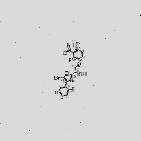 NC(=O)c1c(F)ccc(OCC(O)c2nc(-c3ccccc3F)c(Br)o2)c1F